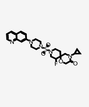 O=C1COC2(CCN(S(=O)(=O)N3CCN(c4ccc5cccnc5c4)CC3)CC2F)CN1C1CC1